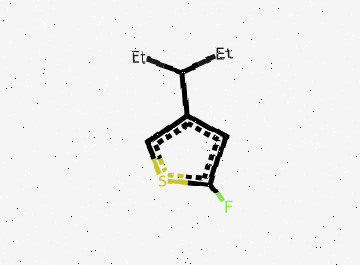 CCC(CC)c1csc(F)c1